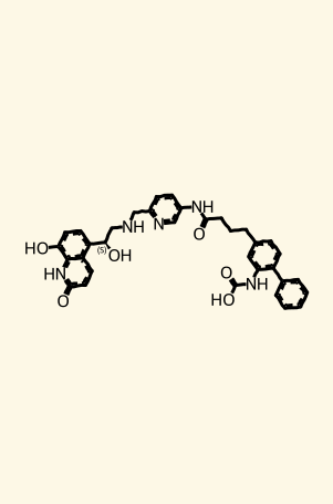 O=C(O)Nc1cc(CCCC(=O)Nc2ccc(CNC[C@@H](O)c3ccc(O)c4[nH]c(=O)ccc34)nc2)ccc1-c1ccccc1